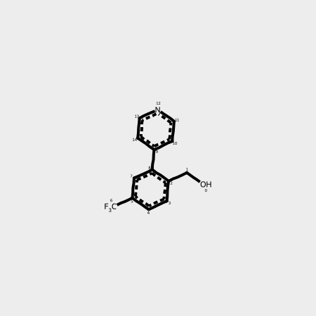 OCc1ccc(C(F)(F)F)cc1-c1ccncc1